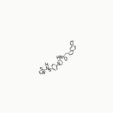 O=C(CC1C=Cc2ccc(Cl)cc21)N[C@H]1CCN(c2ccc(SNc3nccs3)cc2)C1